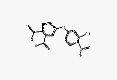 O=C(Cl)c1ccc(Oc2ccc([N+](=O)[O-])c(O)c2)cc1C(=O)Cl